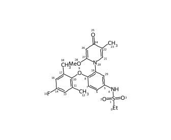 CCS(=O)(=O)Nc1ccc(Oc2c(C)cc(F)cc2C)c(-n2cc(C)c(=O)cc2OC)c1